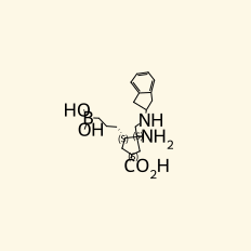 N[C@@]1(CNC2Cc3ccccc3C2)C[C@@H](C(=O)O)C[C@@H]1CCCB(O)O